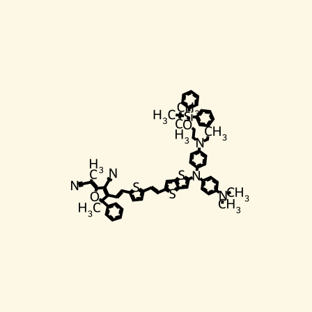 CCN(CCO[Si](c1ccccc1)(c1ccccc1)C(C)(C)C)c1ccc(N(c2ccc(N(C)C)cc2)c2cc3sc(/C=C/c4ccc(/C=C/C5=C(C#N)C(=C(\C)C#N)/OC5(C)c5ccccc5)s4)cc3s2)cc1